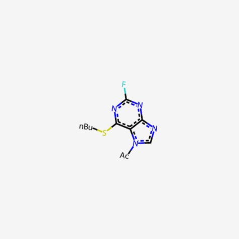 CCCCSc1nc(F)nc2ncn(C(C)=O)c12